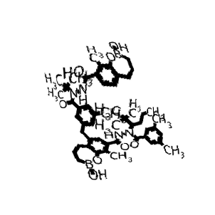 CCCC(N(NC(=O)c1cc(Cc2cc(C)cc(C(=O)N(NC(O)c3ccc4c(c3C)OB(O)CCC4)C(C)(C)C)c2)c2c(c1C)OB(O)CCC2)C(=O)c1cc(C)cc(C)c1)C(C)(C)C